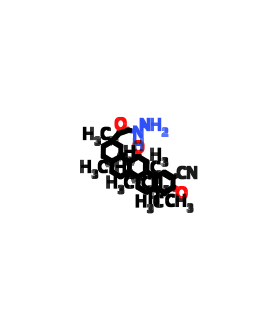 CC1(C)C(=O)C(C#N)=C[C@]2(C)C3=CC(=O)[C@@H]4[C@@H]5C[C@@](C)(C6OC6NN)CC[C@]5(C)CC[C@@]4(C)[C@]3(C)CC[C@@H]12